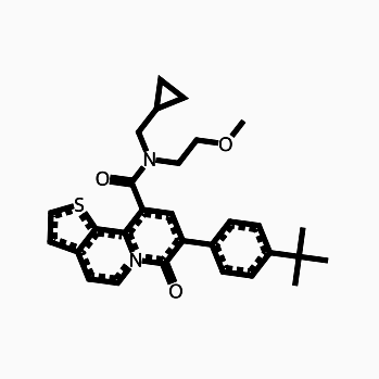 COCCN(CC1CC1)C(=O)c1cc(-c2ccc(C(C)(C)C)cc2)c(=O)n2ccc3ccsc3c12